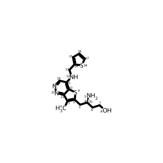 Cc1c(C[C@@H](N)CCO)sc2c(NCc3cccs3)cnnc12